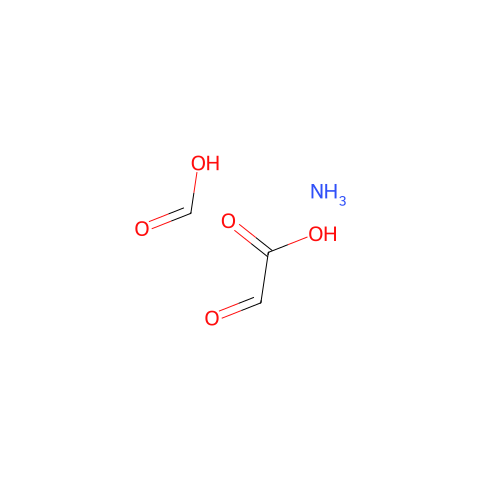 N.O=CC(=O)O.O=CO